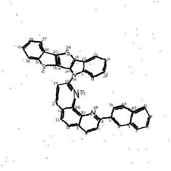 c1ccc2cc(-c3ccc4ccc5ccc(-n6c7ccccc7c7sc8c9ccccc9sc8c76)nc5c4n3)ccc2c1